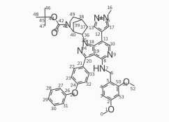 COc1ccc(CNc2ncc(-c3cnn(C)c3)c3c2c(-c2ccc(Oc4ccccc4)cc2)nn3C2CC3CC2N(C(=O)OC(C)(C)C)C3)c(OC)c1